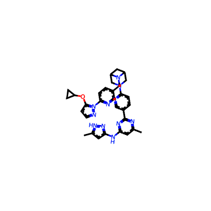 Cc1cc(Nc2cc(C)[nH]n2)nc(-c2ccc(N3CC4CC(C3)N4Cc3ccc(-n4nccc4OC4CC4)nc3)nc2)n1